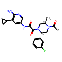 CC(C)C(=O)N1C[C@H](c2cccc(Cl)c2)N(C(=O)C(=O)Nc2cnc(N)c(C3CC3)c2)C[C@H]1C